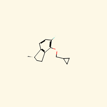 CC(C)(C)[C@@H]1CCc2c1ccc(F)c2OCC1CC1